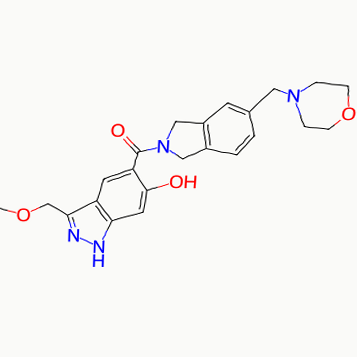 COCc1n[nH]c2cc(O)c(C(=O)N3Cc4ccc(CN5CCOCC5)cc4C3)cc12